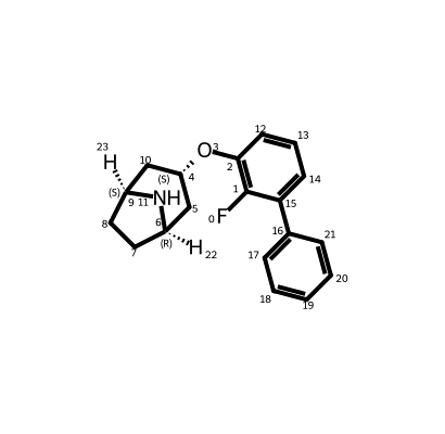 Fc1c(O[C@@H]2C[C@H]3CC[C@@H](C2)N3)cccc1-c1ccccc1